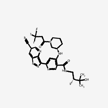 CC(C)(O)[C@H](F)CNC(=O)c1cnc(C2=C3N=CC(C#N)C=C3N=N2)cc1N[C@@H]1CCCN(C(=O)CC(F)(F)F)C1